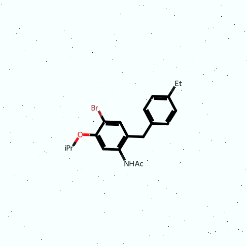 CCc1ccc(Cc2cc(Br)c(OC(C)C)cc2NC(C)=O)cc1